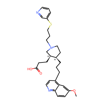 COc1ccc2nccc(CCC[C@@H]3CCN(CCCSc4cccnc4)C[C@@H]3CCC(=O)O)c2c1